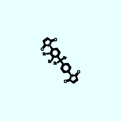 O=C1C=CC(=O)N1c1ccc(C(Br)(Br)c2ccc(N3C(=O)C=CC3=O)c(Br)c2Br)cc1